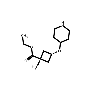 CCOC(=O)[C@]1(C)C[C@H](OC2CCNCC2)C1